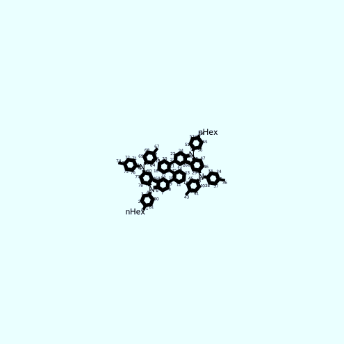 CCCCCCc1ccc(-n2c3ccc(-c4ccccc4-c4ccccc4-c4ccc5c(c4)c4cc(N(c6ccc(C)cc6)c6ccc(C)cc6)ccc4n5-c4ccc(CCCCCC)cc4)cc3c3cc(N(c4ccc(C)cc4)c4ccc(C)cc4)ccc32)cc1